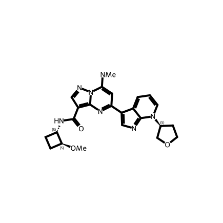 CNc1cc(-c2cnc3n([C@H]4CCOC4)cccc2-3)nc2c(C(=O)N[C@H]3CC[C@@H]3OC)cnn12